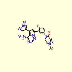 CC(=O)N1CCN(c2ccc(F)c(-c3cc(-c4cn[nH]c4)c4c(N)ncnn34)c2)C(=O)C1(C)C